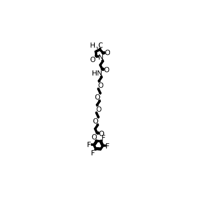 CC1CC(=O)N(CCC(=O)NCCOCCOCCOCCOCCC(=O)Oc2c(F)c(F)cc(F)c2F)C1=O